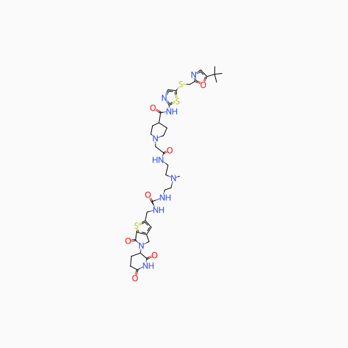 CN(CCNC(=O)CN1CCC(C(=O)Nc2ncc(SCc3ncc(C(C)(C)C)o3)s2)CC1)CCNC(=O)NCc1cc2c(s1)C(=O)N(C1CCC(=O)NC1=O)C2